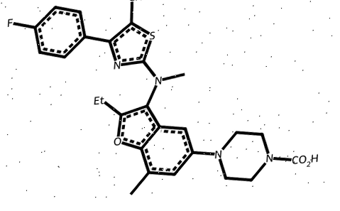 CCc1oc2c(C)cc(N3CCN(C(=O)O)CC3)cc2c1N(C)c1nc(-c2ccc(F)cc2)c(C#N)s1